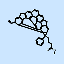 C=CC1C=C2Cc3cc4ccc5cc6c7c8c9c%10c(c2c3c2c4c5c7c%102)C1C91C(C=C8C6)[C@]1(CCCC(=O)OC)c1ccccc1